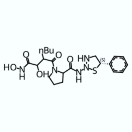 CCCCC(C(=O)N1CCCC1C(=O)NN1NC[C@H](c2ccccc2)S1)C(O)C(=O)NO